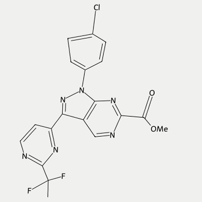 COC(=O)c1ncc2c(-c3ccnc(C(C)(F)F)n3)nn(-c3ccc(Cl)cc3)c2n1